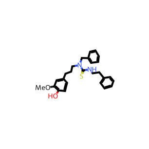 COc1cc(CCCN(Cc2ccccc2)C(=S)NCCc2ccccc2)ccc1O